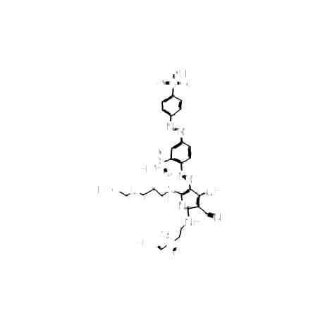 C=CS(=O)(=O)CCNc1nc(NCCCOCC)c(/N=N/c2ccc(/N=N/c3ccc(S(=O)(=O)O)cc3)cc2S(=O)(=O)O)c(C)c1C#N